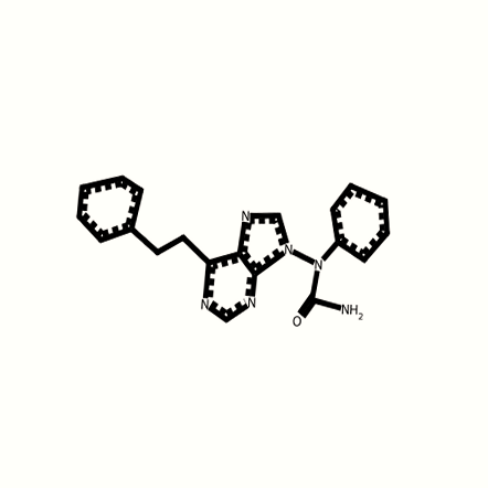 NC(=O)N(c1ccccc1)n1cnc2c(CCc3ccccc3)ncnc21